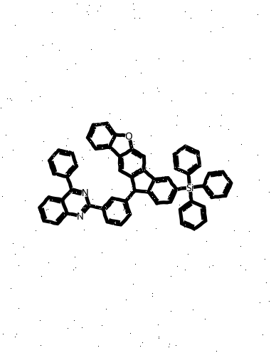 c1ccc(-c2nc(-c3cccc(C4c5ccc([Si](c6ccccc6)(c6ccccc6)c6ccccc6)cc5-c5cc6oc7ccccc7c6cc54)c3)nc3ccccc23)cc1